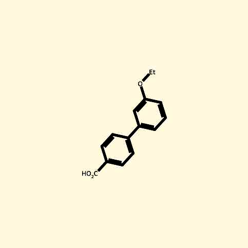 CCOc1cccc(-c2ccc(C(=O)O)cc2)c1